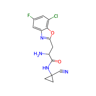 N#CC1(NC(=O)C(N)Cc2nc3cc(F)cc(Cl)c3o2)CC1